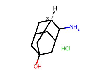 Cl.NC1C2CC3C[C@@H]1CC(O)(C3)C2